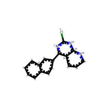 Clc1nc(-c2ccc3ccccc3c2)c2cccnc2n1